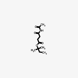 CCC(C)(C)OC(=O)CCC(=O)NC(C)=O